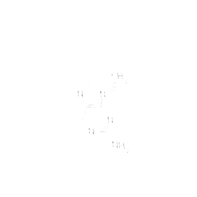 C=Cn1cnc2cnc(N)nc21